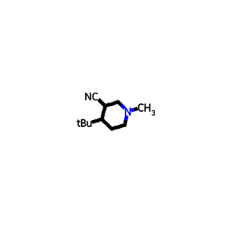 CN1CCC(C(C)(C)C)C(C#N)C1